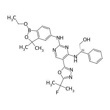 CCOB1OC(C)(C)c2cc(Nc3ncc(-c4nnc(C(C)(C)F)o4)c(N[C@H](CO)c4ccccc4)n3)ccc21